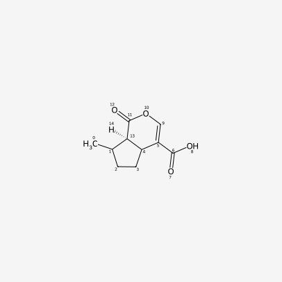 CC1CCC2C(C(=O)O)=COC(=O)[C@H]12